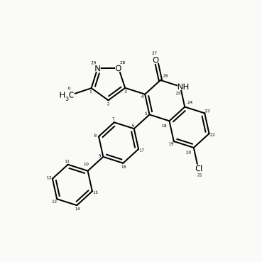 Cc1cc(-c2c(-c3ccc(-c4ccccc4)cc3)c3cc(Cl)ccc3[nH]c2=O)on1